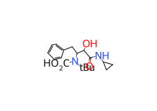 CC(C)(C)N(C(=O)O)C(Cc1ccccc1)C(O)C(=O)NC1CC1